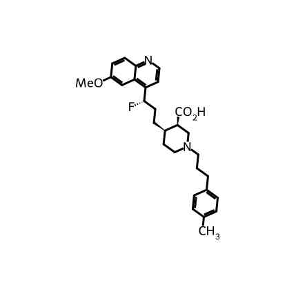 COc1ccc2nccc([C@@H](F)CC[C@@H]3CCN(CCCc4ccc(C)cc4)C[C@@H]3C(=O)O)c2c1